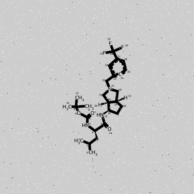 CC(C)C[C@@H](NC(=O)OC(C)(C)C)C(=O)N[C@@H]1CC[C@H]2CN(Cc3cccc(C(F)(F)F)c3)C[C@H]21